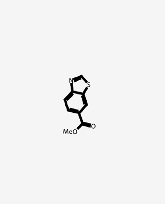 COC(=O)c1ccc2ncsc2c1